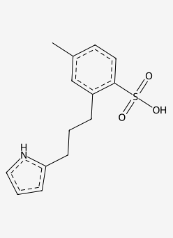 Cc1ccc(S(=O)(=O)O)c(CCCc2ccc[nH]2)c1